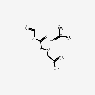 C=COC(=O)COCC(=C)C.NC(N)=O